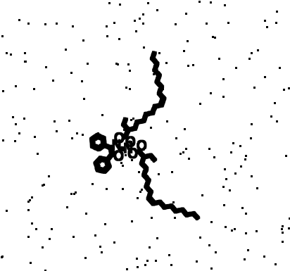 CCCCCCCC/C=C\CCCCCCC(CC)C(=O)ON(OC(=O)C(CC)CCCCCC/C=C\CCCCCCCC)c1nc(-c2ccccc2)c(-c2ccccc2)o1